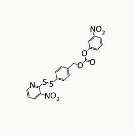 O=C(OCc1ccc(SSc2ncccc2[N+](=O)[O-])cc1)Oc1cccc([N+](=O)[O-])c1